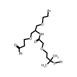 CC(=O)CCOCC(COCCC(=O)C(C)C)NC(=O)COCCC(C)(C)SC(C)C